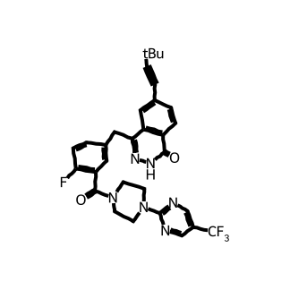 CC(C)(C)C#Cc1ccc2c(=O)[nH]nc(Cc3ccc(F)c(C(=O)N4CCN(c5ncc(C(F)(F)F)cn5)CC4)c3)c2c1